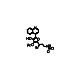 CC(=O)Oc1c(C(Br)CCN[SH](=O)=O)oc(-c2ccnc3ccccc23)c1O